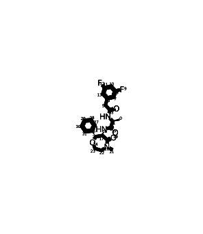 C[C@H](NC(=O)Cc1cc(F)cc(F)c1)C(=O)N[C@@H]1C(=O)N(C)CCO[C@@H]1c1ccccc1